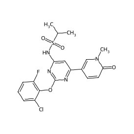 CC(C)S(=O)(=O)Nc1cc(-c2ccc(=O)n(C)c2)nc(Oc2c(F)cccc2Cl)n1